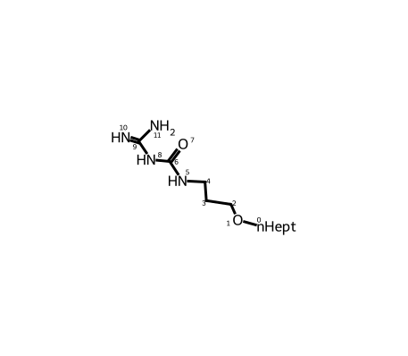 CCCCCCCOCCCNC(=O)NC(=N)N